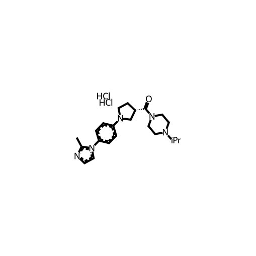 Cc1nccn1-c1ccc(N2CC[C@H](C(=O)N3CCN(C(C)C)CC3)C2)cc1.Cl.Cl